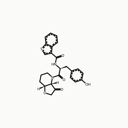 O=C(N[C@@H](Cc1ccc(O)cc1)C(=O)N1CCC[C@H]2OCC(=O)[C@H]21)c1csc2ccccc12